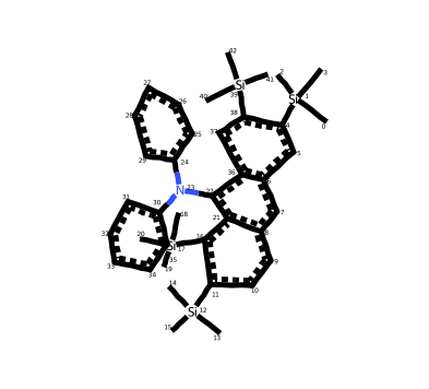 C[Si](C)(C)c1cc2cc3ccc([Si](C)(C)C)c([Si](C)(C)C)c3c(N(c3ccccc3)c3ccccc3)c2cc1[Si](C)(C)C